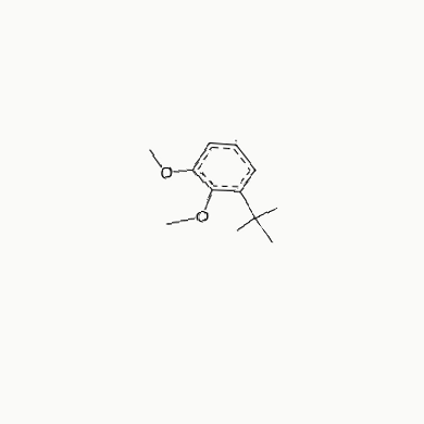 COc1c[c]cc(C(C)(C)C)c1OC